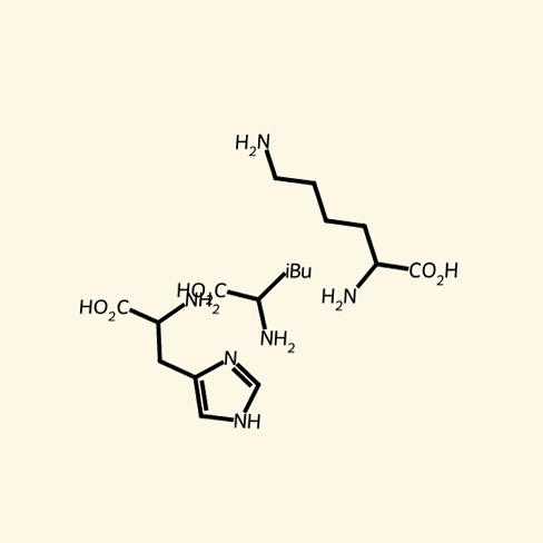 CCC(C)C(N)C(=O)O.NC(Cc1c[nH]cn1)C(=O)O.NCCCCC(N)C(=O)O